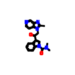 Cc1nc2cnccc2n1CC(=O)c1cn(C(=O)N(C)C)c2ccccc12